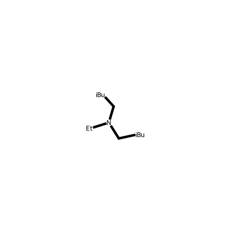 CCC(C)CN(CC)CC(C)CC